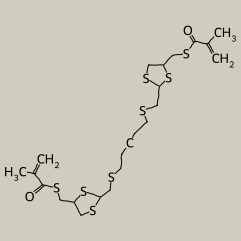 C=C(C)C(=O)SCC1CSC(CSCCCCCSCC2SCC(CSC(=O)C(=C)C)S2)S1